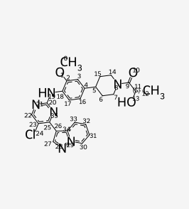 COc1cc(C2CCN(C(=O)[C@H](C)O)CC2)ccc1Nc1ncc(Cl)c(-c2cnn3ccccc23)n1